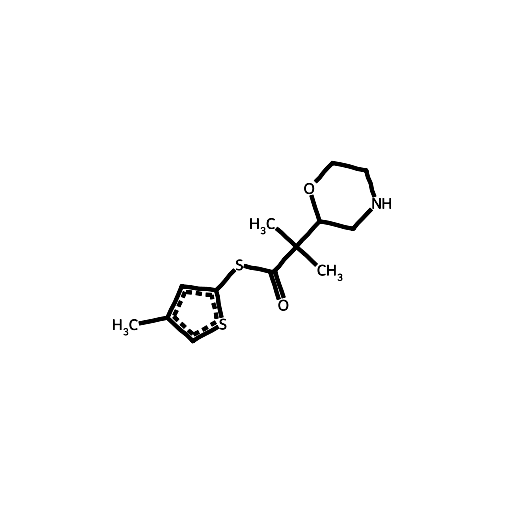 Cc1csc(SC(=O)C(C)(C)C2CNCCO2)c1